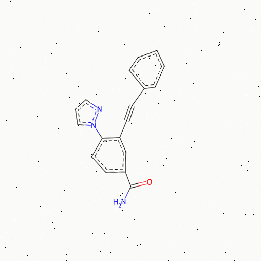 NC(=O)c1ccc(-n2cccn2)c(C#Cc2ccccc2)c1